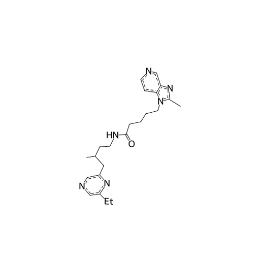 CCc1cncc(CC(C)CCNC(=O)CCCCn2c(C)nc3cnccc32)n1